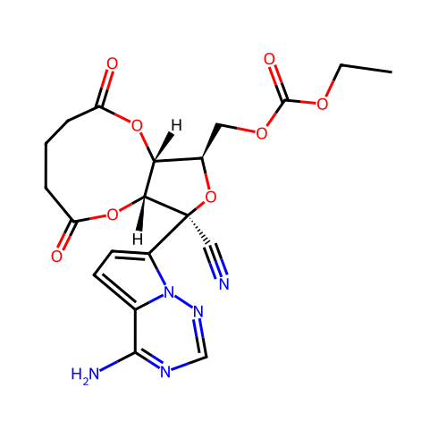 CCOC(=O)OC[C@H]1O[C@@](C#N)(c2ccc3c(N)ncnn23)[C@@H]2OC(=O)CCCC(=O)O[C@@H]21